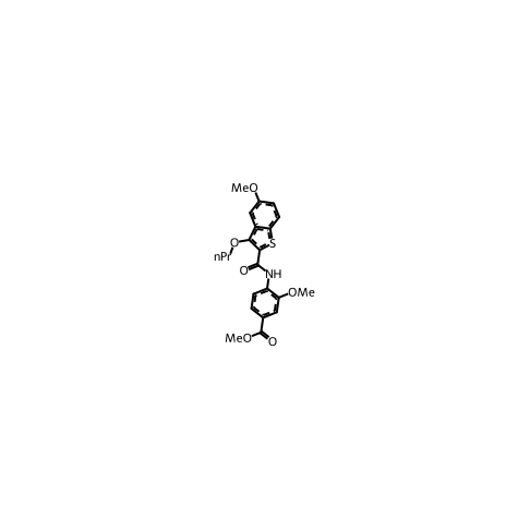 CCCOc1c(C(=O)Nc2ccc(C(=O)OC)cc2OC)sc2ccc(OC)cc12